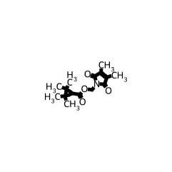 CC1=C(C)C(=O)N(COC(=O)C2C(C)(C)C2(C)C)C1=O